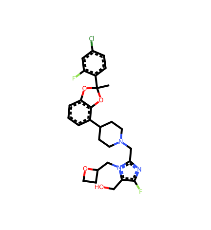 CC1(c2ccc(Cl)cc2F)Oc2cccc(C3CCN(Cc4nc(F)c(CO)n4CC4CCO4)CC3)c2O1